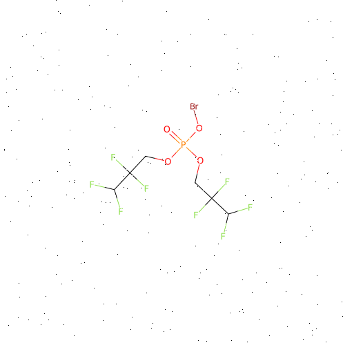 O=P(OBr)(OCC(F)(F)C(F)F)OCC(F)(F)C(F)F